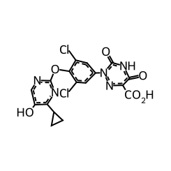 O=C(O)c1nn(-c2cc(Cl)c(Oc3ncc(O)c(C4CC4)n3)c(Cl)c2)c(=O)[nH]c1=O